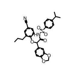 CCCc1cc(C#N)ccc1OC(C(=O)NS(=O)(=O)c1ccc(C(C)C)cc1)c1ccc2c(c1)OCO2